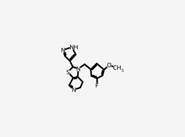 COc1cc(F)cc(CN2C3=C(C=NCC3)SC2c2cn[nH]c2)c1